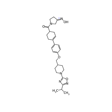 CC(C)c1noc(N2CCC(COc3ccc(C4=CCC(C(=O)N5CC/C(=N/O)C5)CC4)cc3)CC2)n1